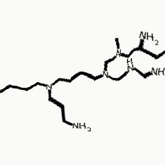 CCCCN(CCCN)CCCCN(CNCN)CN(C)CC(N)CC